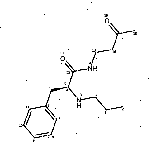 CCCN[C@@H](Cc1ccccc1)C(=O)NCCC(C)=O